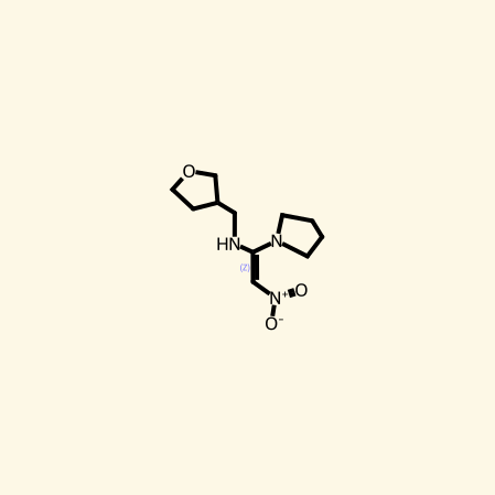 O=[N+]([O-])/C=C(/NCC1CCOC1)N1CCCC1